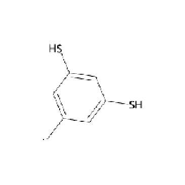 [CH2]c1cc(S)cc(S)c1